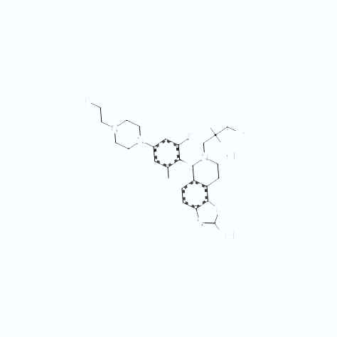 C[C@@H]1Cc2c(ccc3c2OC(O)N3)[C@@H](c2c(F)cc(N3CCN(CCF)CC3)cc2F)N1CC(F)(F)CO